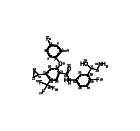 Cc1cc(F)ccc1Oc1cc(C2CC2)c(C(F)(F)F)cc1C(=O)Nc1ccc(F)c(C(O)CN)c1